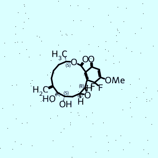 C=C1CCC[C@H](C)OC(=O)C2=C([C@H]3O[C@@H]3C[C@H](O)[C@@H]1O)C(F)(F)C(OC)=CC2=O